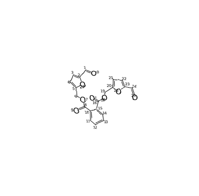 O=Cc1ccc(COC(=O)c2ccccc2C(=O)OCc2ccc(C=O)o2)o1